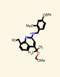 COCOC(C)(C)c1cc(NCc2ccc(OC)cc2OC)nc2c(CC#N)cccc12